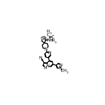 CCC1(C(=O)NC(C)C)CCN(c2ccc(-c3cc(-c4cnn(C)c4)cn4ncc(C#N)c34)cn2)CC1